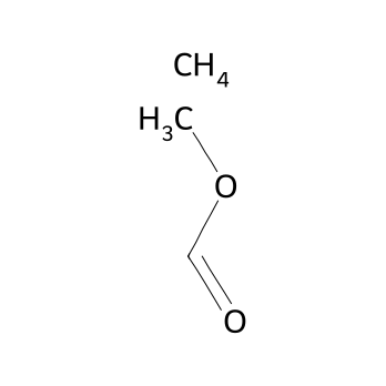 C.COC=O